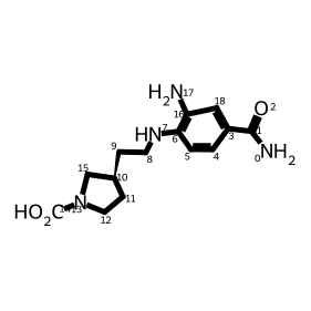 NC(=O)c1ccc(NCC[C@H]2CCN(C(=O)O)C2)c(N)c1